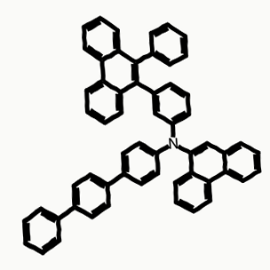 c1ccc(-c2ccc(-c3ccc(N(c4cccc(-c5c(-c6ccccc6)c6ccccc6c6ccccc56)c4)c4cc5ccccc5c5ccccc45)cc3)cc2)cc1